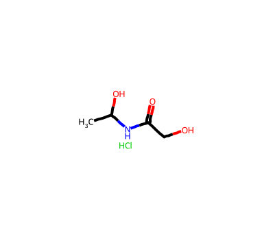 CC(O)NC(=O)CO.Cl